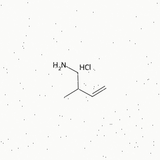 C=CC(C)CN.Cl